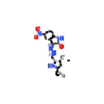 Cc1cc(C)c(/C=N/N=C2\C(=O)Nc3ccc([N+](=O)[O-])cc32)[nH]1